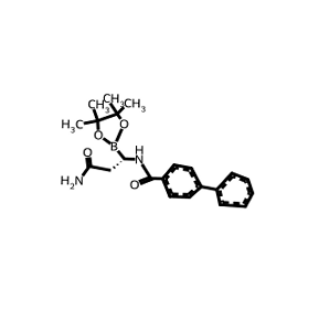 CC1(C)OB([C@@H](CC(N)=O)NC(=O)c2ccc(-c3ccccc3)cc2)OC1(C)C